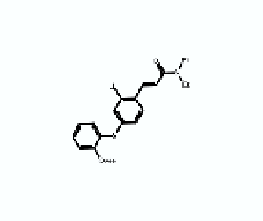 CCN(CC)C(=O)C=Cc1ccc(Sc2ccccc2OC)cc1Cl